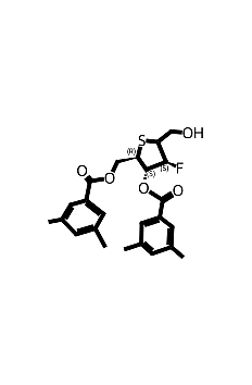 Cc1cc(C)cc(C(=O)OC[C@H]2SC(CO)[C@@H](F)[C@@H]2OC(=O)c2cc(C)cc(C)c2)c1